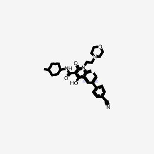 C=c1/c(=C\C(=C/C)c2ccc(C#N)cc2)c(O)c(C(=O)NC2CCC(C)CC2)c(=O)n1CCN1CCOCC1